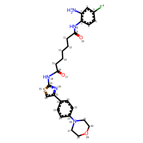 Nc1cc(F)ccc1NC(=O)CCCCCC(=O)Nc1nc(-c2ccc(N3CCOCC3)cc2)cs1